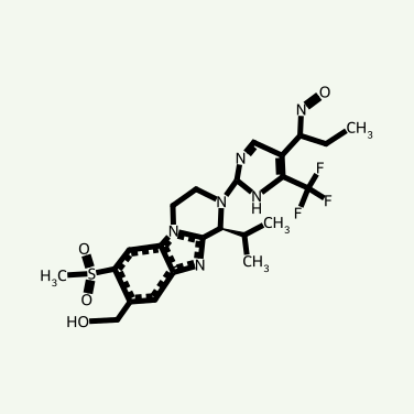 CCC(N=O)C1=C(C(F)(F)F)NC(N2CCn3c(nc4cc(CO)c(S(C)(=O)=O)cc43)[C@@H]2C(C)C)N=C1